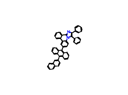 c1ccc(-c2nc3c4ccccc4c4cc(-c5c6ccccc6c(-c6ccc7ccccc7c6)c6ccccc56)ccc4n3c2-c2ccccc2)cc1